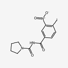 O=C(NC(=O)N1CCCC1)c1ccc(I)c([N+](=O)[O-])c1